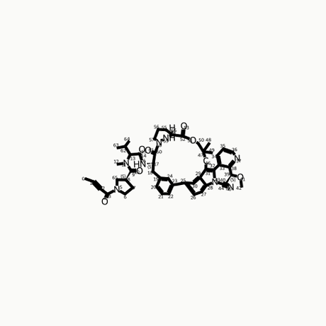 CC#CC(=O)N1CC[C@H](C(=O)N(C)C(C(=O)N[C@H]2Cc3cccc(c3)-c3ccc4c(c3)c(c(-c3cccnc3[C@H](C)OC)n4C#N)CC(C)(C)COC(=O)[C@@H]3CCCN(N3)C2=O)C(C)C)C1